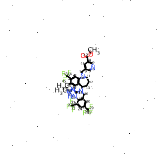 COC(=O)c1cncc(CN2CCCC(N(Cc3cc(C(F)(F)F)cc(C(F)(F)F)c3)c3nnn(C)n3)c3cc(C)c(C(F)(F)F)cc32)c1